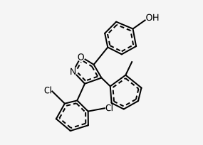 Cc1ccccc1-c1c(-c2c(Cl)cccc2Cl)noc1-c1ccc(O)cc1